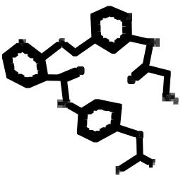 NCC(=O)Nc1cc(CSc2ncccc2C(=O)Nc2ccc(OC(F)F)cc2)ccn1